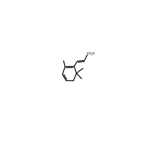 CC1=C(C=CC(=O)O)C(C)(C)CC=C1